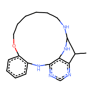 CC1c2ncnc3c2NC1NCCCCCCOc1ccccc1N3